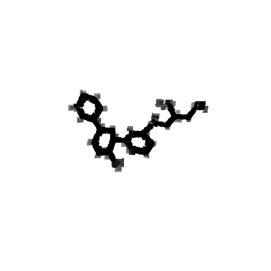 CC[C@H](N)CNc1ccnc(-c2cc(-c3cccnc3)ccc2O)n1